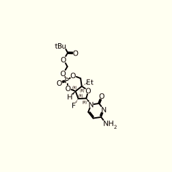 CC[C@@]12COP(=O)(OCOC(=O)C(C)(C)C)O[C@H]1[C@@H](F)[C@H](n1ccc(N)nc1=O)O2